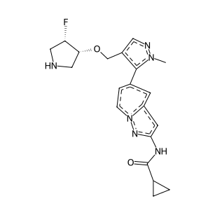 Cn1ncc(CO[C@@H]2CNC[C@@H]2F)c1-c1ccn2nc(NC(=O)C3CC3)cc2c1